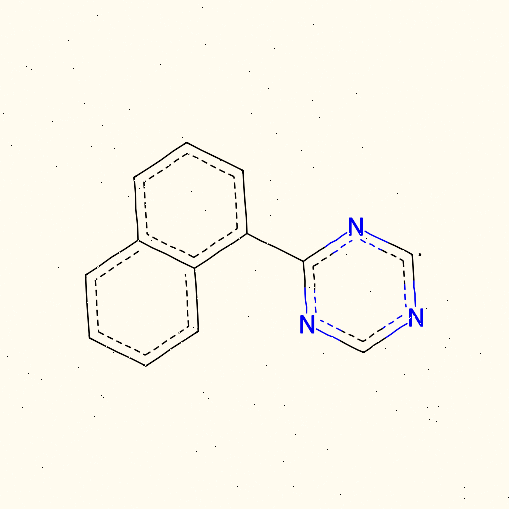 [c]1ncnc(-c2cccc3ccccc23)n1